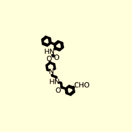 O=Cc1cccc(C(=O)CNCCN2CCC(OC(=O)Nc3ccccc3-c3ccccc3)CC2)c1